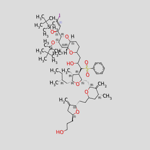 C=C1C[C@H](CCCO)O[C@H]1CCC1C[C@@H](C)C(=C)[C@@H](C[C@@H]2O[C@H](C[C@H](C)CC)[C@H](C)[C@H]2C(C(O)CC2CC[C@@H]3O[C@@H]([C@H](/C=C/I)O[Si](C)(C)C(C)(C)C)[C@@H](O[Si](C)(C)C(C)(C)C)[C@@H](C)[C@H]3O2)S(=O)(=O)c2ccccc2)O1